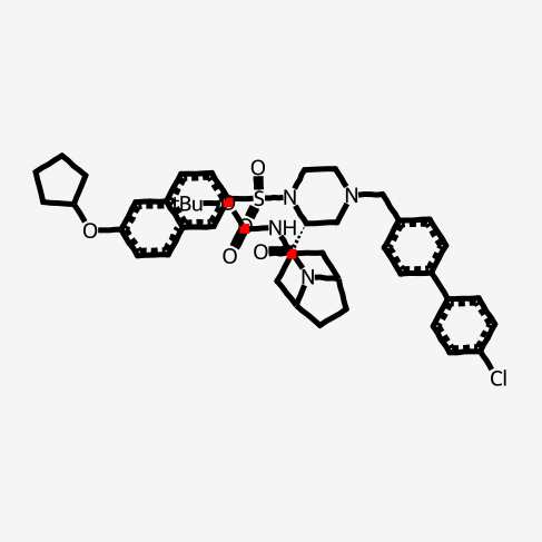 CC(C)(C)OC(=O)NC1CC2CCC(C1)N2C(=O)[C@H]1CN(Cc2ccc(-c3ccc(Cl)cc3)cc2)CCN1S(=O)(=O)c1ccc2cc(OC3CCCC3)ccc2c1